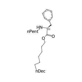 CCCCCCCCCCCCCCCCOC(=O)[C@H](Cc1ccccc1)NCCCCC